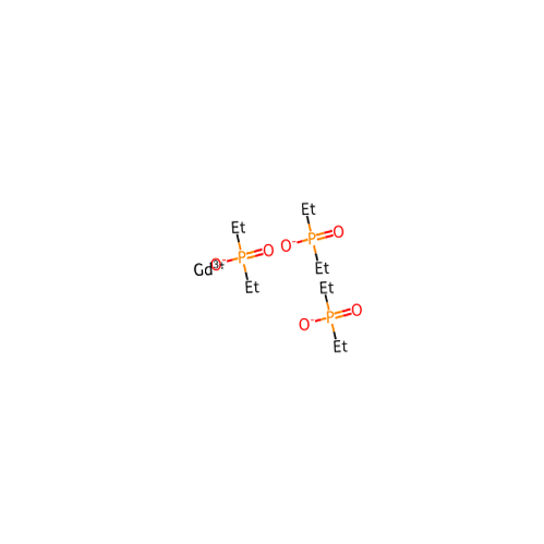 CCP(=O)([O-])CC.CCP(=O)([O-])CC.CCP(=O)([O-])CC.[Gd+3]